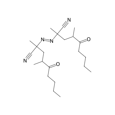 CCCCC(=O)C(C)CC(C)(C#N)N=NC(C)(C#N)CC(C)C(=O)CCCC